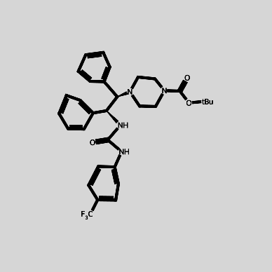 CC(C)(C)OC(=O)N1CCN([C@H](c2ccccc2)[C@@H](NC(=O)Nc2ccc(C(F)(F)F)cc2)c2ccccc2)CC1